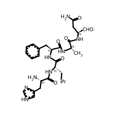 CC(C)C[C@H](NC(=O)[C@@H](N)Cc1c[nH]cn1)C(=O)N[C@@H](Cc1ccccc1)C(=O)N[C@@H](C)C(=O)N[C@H]([C]=O)CC(N)=O